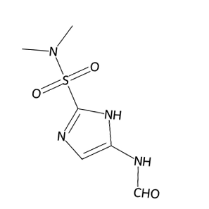 CN(C)S(=O)(=O)c1ncc(NC=O)[nH]1